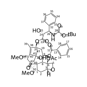 CO[C@H]1C[C@H]2OC[C@@]2(OC(C)=O)C2[C@H](OC(=O)c3ccccc3)C[C@H](OC(=O)[C@H](O)[C@H](NC(=O)OC(C)(C)C)c3ccccc3)/C(C)=C(\C(C)(C)O)[C@@H](OC)C(=O)[C@@]21C